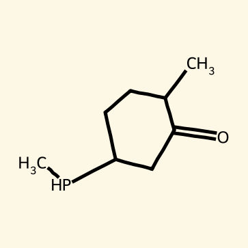 CPC1CCC(C)C(=O)C1